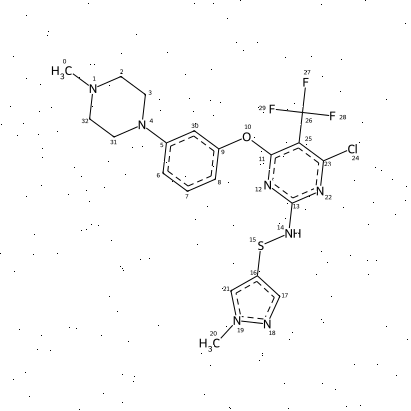 CN1CCN(c2cccc(Oc3nc(NSc4cnn(C)c4)nc(Cl)c3C(F)(F)F)c2)CC1